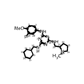 COc1ccc(Nc2nc(NCC3CCCCC3)nc(NCC3CCCN3C)n2)cc1F